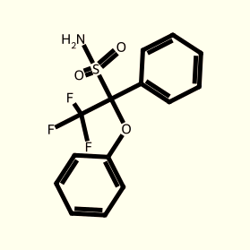 NS(=O)(=O)C(Oc1ccccc1)(c1ccccc1)C(F)(F)F